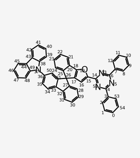 c1ccc(-c2nc(-c3ccccc3)nc(-c3cc4c(o3)-c3ccccc3C43c4ccccc4-c4ccc(-n5c6ccccc6c6ccccc65)cc43)n2)cc1